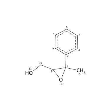 CC1(c2ccccc2)OC1CO